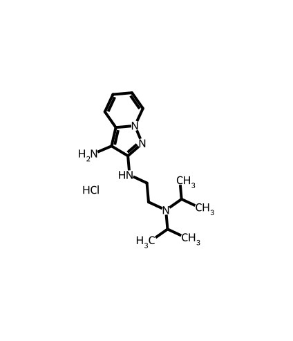 CC(C)N(CCNc1nn2ccccc2c1N)C(C)C.Cl